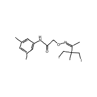 CC(=NOCC(=O)Nc1cc(C)cc(C)c1)C(C)(CI)CI